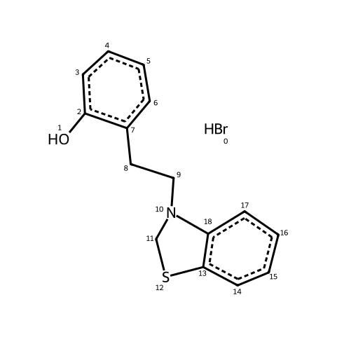 Br.Oc1ccccc1CCN1CSc2ccccc21